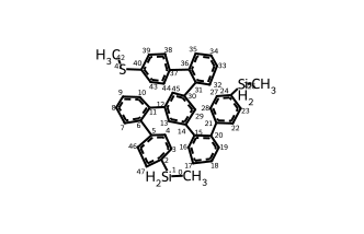 C[SiH2]c1ccc(-c2ccccc2-c2cc(-c3ccccc3-c3ccc([SiH2]C)cc3)cc(-c3ccccc3-c3ccc(SC)cc3)c2)cc1